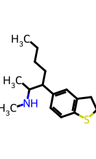 CCCCC(c1ccc2c(c1)CCS2)C(C)NC